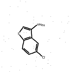 [CH2]CCCCCc1csc2ccc(Cl)cc12